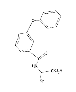 CC(C)[C@H](NC(=O)c1cccc(Oc2ccccc2)c1)C(=O)O